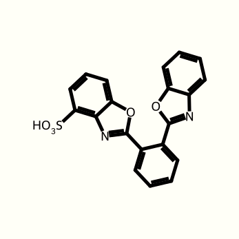 O=S(=O)(O)c1cccc2oc(-c3ccccc3-c3nc4ccccc4o3)nc12